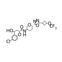 O=C(N[C@@H]1CC[C@@H](c2nnc(C3CC(OC(F)(F)F)C3)o2)OC1)[C@@H]1C[C@H](O)c2cc(Cl)ccc2O1